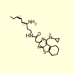 CC/C=C\C=C(/N)CCNC(=O)Cc1nc(N(C)C2CC2)c2c3c(sc2n1)CCCC3